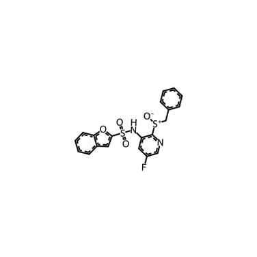 O=S(=O)(Nc1cc(F)cnc1[S+]([O-])Cc1ccccc1)c1cc2ccccc2o1